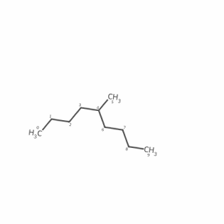 CCCCC(C)CCCC